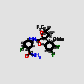 COc1c([C@@H]2[C@@H](C(=O)Nc3ccc(F)c(C(N)=O)c3)O[C@@](C)(C(F)(F)F)[C@@H]2C)ccc(F)c1F